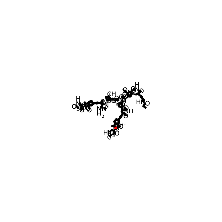 CCC(=O)NCC#Cc1cn([C@H]2C[C@H](CP(=O)(O)OC[C@H]3O[C@@H](n4cc(C#Cc5ccc(C(C)OC6CNC(=O)SC6=O)c([N+](=O)[O-])c5)c(=O)[nH]c4=O)C[C@@H]3CP(=O)(O)OC[C@H]3O[C@@H](n4cc(C#Cc5ccc(C(C)NC6CNC(=O)SC6=O)c([N+](=O)[O-])c5)c5c(N)ncnc54)C[C@@H]3O)[C@@H](COC)O2)c(=O)[nH]c1=O